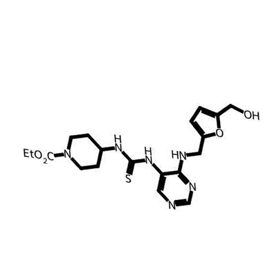 CCOC(=O)N1CCC(NC(=S)Nc2cncnc2NCc2ccc(CO)o2)CC1